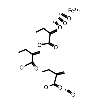 C=C(CC)C(=O)[O-].C=C(CC)C(=O)[O-].C=C(CC)C(=O)[O-].[C]=O.[C]=O.[C]=O.[C]=O.[Fe+3]